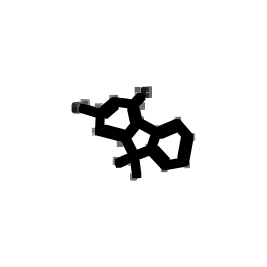 CC1(C)c2ccccc2-c2c(Cl)cc(Cl)cc21